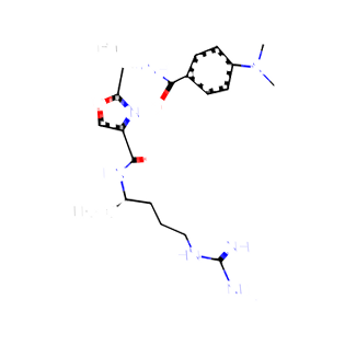 CC[C@H](C)[C@H](NC(=O)c1ccc(N(C)C)cc1)c1nc(C(=O)N[C@@H](CCCNC(=N)N)C(=O)O)co1